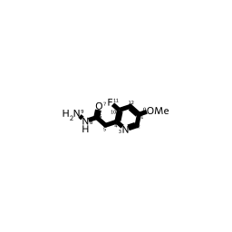 COc1cnc(CC(=O)NN)c(F)c1